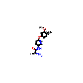 CC[C@@H](N)C(=O)Nc1ccc(Oc2ccc(C#N)c(OC(C)C)c2)nc1